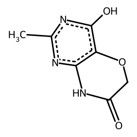 Cc1nc(O)c2c(n1)NC(=O)CO2